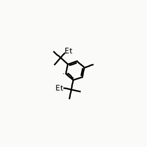 CCC(C)(C)c1[c]c(C(C)(C)CC)cc(C)c1